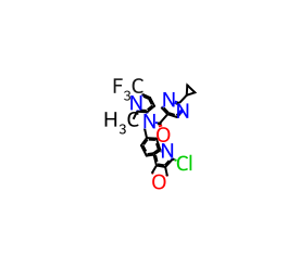 Cc1nc(C(F)(F)F)ccc1N(Cc1ccc2c3c(c(Cl)nc2c1)COC3)C(=O)c1cnc(C2CC2)nc1